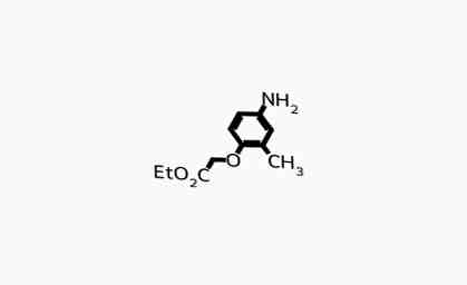 CCOC(=O)COc1ccc(N)cc1C